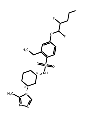 CCc1cc(OC(F)C(F)CCF)ccc1S(=O)(=O)N[C@H]1CCC[C@@H](n2cnnc2C)C1